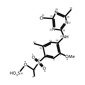 COc1cc(S(=O)(=O)C(C)OS(=O)(=O)O)c(C)cc1Nc1nc(C)nc(Cl)n1